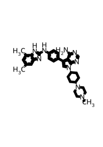 Cc1cc(C)c2[nH]c(Nc3ccc(-c4cn([C@H]5CC[C@@H](N6CCN(C)CC6)CC5)c5ncnc(N)c45)cc3)nc2c1